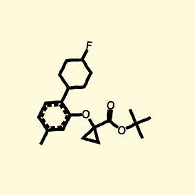 Cc1ccc(C2CCC(F)CC2)c(OC2(C(=O)OC(C)(C)C)CC2)c1